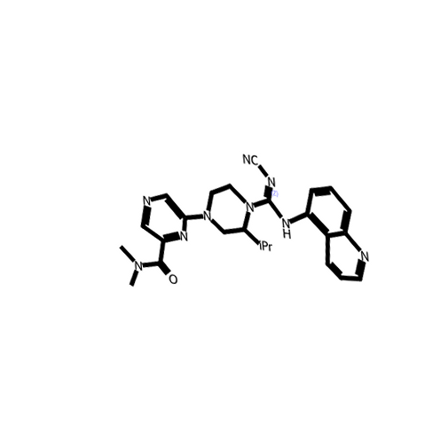 CC(C)C1CN(c2cncc(C(=O)N(C)C)n2)CCN1/C(=N\C#N)Nc1cccc2ncccc12